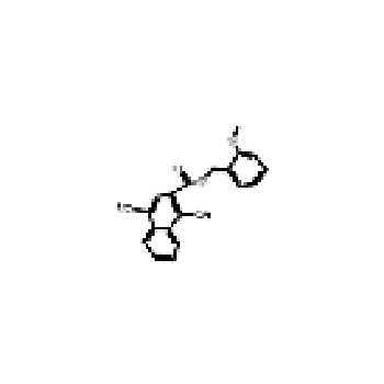 COc1ccccc1COC(=O)c1cc(O)c2ccccc2c1O